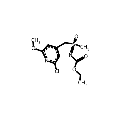 CCOC(=O)N=S(C)(=O)Cc1cc(Cl)nc(OC)c1